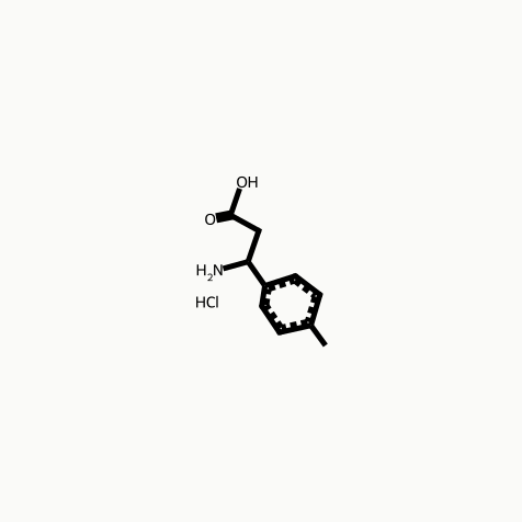 Cc1ccc(C(N)CC(=O)O)cc1.Cl